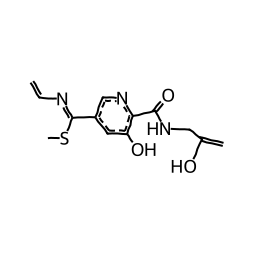 C=C/N=C(\SC)c1cnc(C(=O)NCC(=C)O)c(O)c1